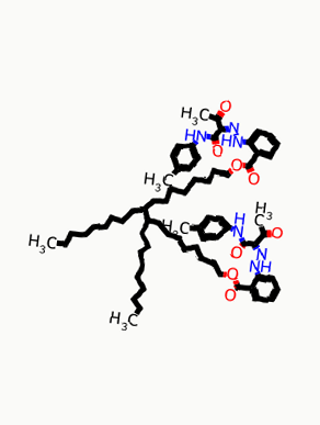 CCCCCCCCCC(CCCCCCCCOC(=O)c1ccccc1N/N=C(/C(C)=O)C(=O)Nc1ccc(C)cc1)C(CCCCCCCCC)CCCCCCCCOC(=O)c1ccccc1N/N=C(/C(C)=O)C(=O)Nc1ccc(C)cc1